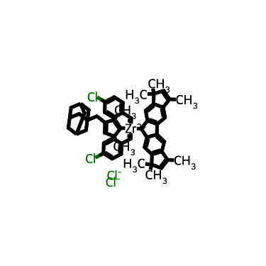 CC1=CC(C)(C)c2cc3c(cc21)-c1cc2c(cc1[CH]3[Zr+2](=[CH]c1ccc(Cl)cc1)(=[CH]c1ccc(Cl)cc1)[C]1=C(C)C(CC34CC5CC(CC(C5)C3)C4)=CC1C)C(C)(C)C=C2C.[Cl-].[Cl-]